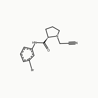 N#CCN1CCC[C@@H]1C(=O)Nc1cccc(Br)c1